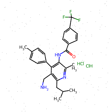 Cc1ccc(-c2c(CN)c(CC(C)C)nc(C)c2NC(=O)c2ccc(C(F)(F)F)cc2)cc1.Cl.Cl